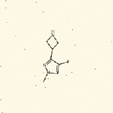 Cn1cc(F)c(C2CNC2)n1